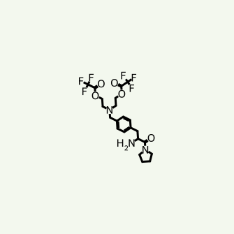 NC(Cc1ccc(CN(CCOC(=O)C(F)(F)F)CCOC(=O)C(F)(F)F)cc1)C(=O)N1CCCC1